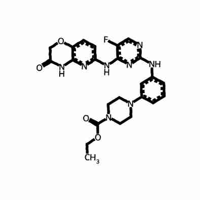 CCOC(=O)N1CCN(c2cccc(Nc3ncc(F)c(Nc4ccc5c(n4)NC(=O)CO5)n3)c2)CC1